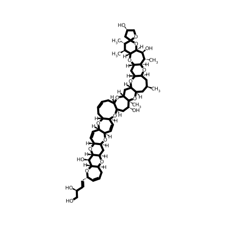 C[C@@H]1C[C@@H]2O[C@@H]3[C@@H](C)[C@H](O)[C@@H]4OC5(C[C@H](O)CO5)[C@@H](C)[C@H](C)[C@H]4O[C@H]3C[C@H]2O[C@H]2C[C@H]3O[C@H]4C/C=C\C[C@H]5O[C@H]6C=C[C@H]7O[C@H]8[C@H](O)[C@H]9O[C@@H](/C=C/[C@H](O)CO)C=CC[C@@H]9O[C@@H]8C[C@@H]7O[C@@H]6C=C[C@@H]5O[C@@H]4C[C@@H](O)[C@]3(C)O[C@@H]2C1